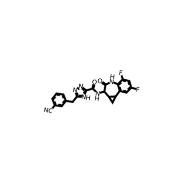 N#Cc1cccc(Cc2nnc(C(=O)NC3C(=O)Nc4c(F)cc(F)cc4C4CC34)[nH]2)c1